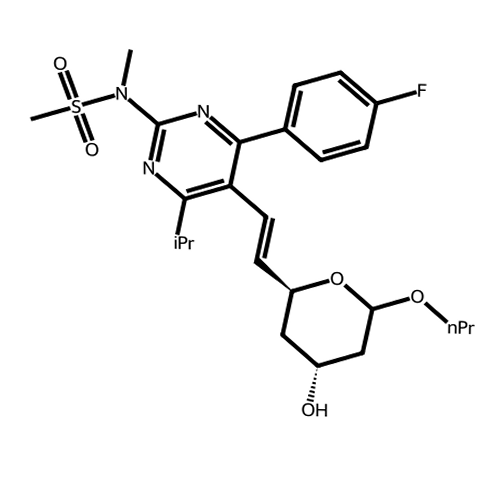 CCCOC1C[C@H](O)C[C@@H](/C=C/c2c(-c3ccc(F)cc3)nc(N(C)S(C)(=O)=O)nc2C(C)C)O1